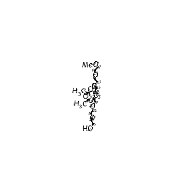 CC(=O)OC(C)(C)C.COCCOCCOCCOCCOCCOCCO